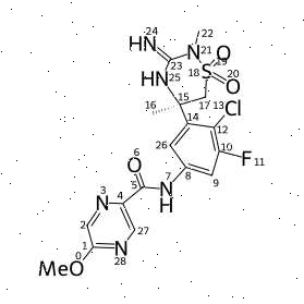 COc1cnc(C(=O)Nc2cc(F)c(Cl)c([C@]3(C)CS(=O)(=O)N(C)C(=N)N3)c2)cn1